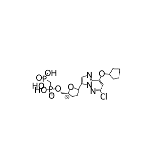 O=P(O)(O)CP(=O)(O)OC[C@@H]1CCC(c2cnc3c(OC4CCCC4)cc(Cl)nn23)O1